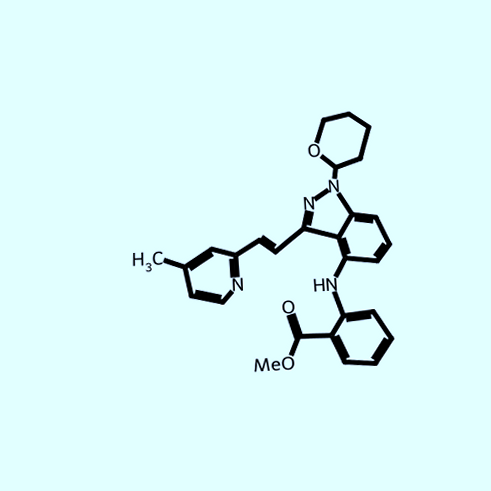 COC(=O)c1ccccc1Nc1cccc2c1c(C=Cc1cc(C)ccn1)nn2C1CCCCO1